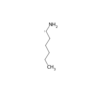 CCCCC[C]N